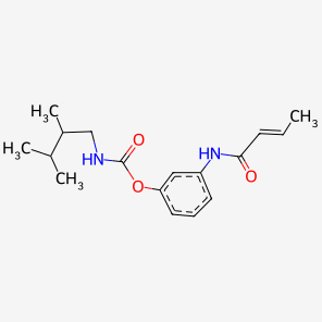 C/C=C/C(=O)Nc1cccc(OC(=O)NCC(C)C(C)C)c1